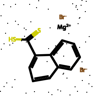 S=C(S)c1cccc2ccccc12.[Br-].[Br-].[Mg+2]